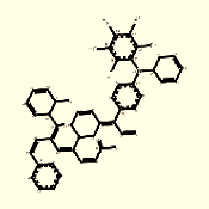 C=C/C(=C1/C=CCC(C(/C=C\C(=C)C)=C\C(\C=C/c2ccccc2)=C(/C)C2C=CC=CC2C)C1)c1ccc(N(c2c(F)c(F)c(F)c(F)c2F)C2C=CC=CC2)cc1